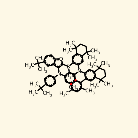 Cc1cc(C)c(-c2cc3c(cc2N2c4cc5c(cc4B4c6oc7ccc(C(C)(C)C)cc7c6N(c6ccc(C(C)(C)C)cc6)c6cc(C)cc2c64)C(C)(C)CCC5(C)C)C(C)(C)CCC3(C)C)c(C)c1